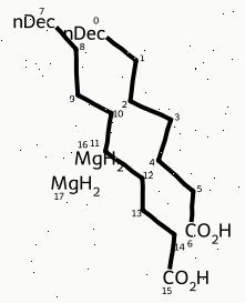 CCCCCCCCCCCCCCCC(=O)O.CCCCCCCCCCCCCCCCCC(=O)O.[MgH2].[MgH2]